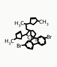 CC1C=CC(C(C)CCCC2(CCCC(C)C3C=CC(C)C3)c3cc(Br)ccc3-c3ccc(Br)cc32)C1